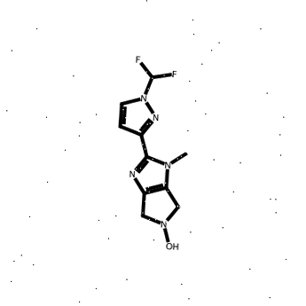 Cn1c(-c2ccn(C(F)F)n2)nc2c1CN(O)C2